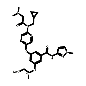 COC[C@H](C)Oc1cc(Oc2cnc(N(CC3CC3)C(=O)CN(C)C)cn2)cc(C(=O)Nc2ccn(C)n2)c1